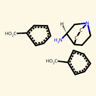 N[C@H]1CN2CCC1CC2.O=C(O)c1ccccc1.O=C(O)c1ccccc1